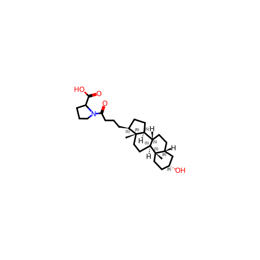 C[C@]12CC[C@@H](O)C[C@H]1CC[C@@H]1[C@@H]2CC[C@]2(C)[C@@H](CCCC(=O)N3CCCC3C(=O)O)CC[C@@H]12